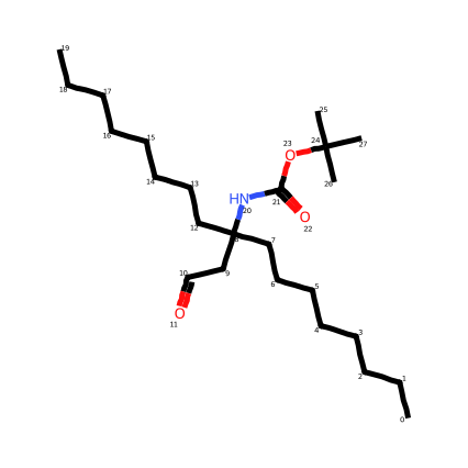 CCCCCCCCC(CC=O)(CCCCCCCC)NC(=O)OC(C)(C)C